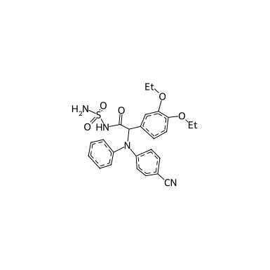 CCOc1ccc(C(C(=O)NS(N)(=O)=O)N(c2ccccc2)c2ccc(C#N)cc2)cc1OCC